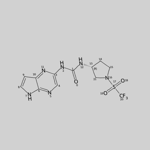 O=C(Nc1cnc2[nH]ccc2n1)N[C@@H]1CCN(S(=O)(=O)C(F)(F)F)C1